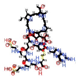 CC[C@H]1c2cc3[nH]c4c(c3C)C(=O)C(C(=O)OC)c4c3nc(cc4[nH]c(cc(n2)[C@@H]1C)c(C(C)=O)c4C)[C@@H](C)[C@@H]3CCC(=O)NCCSSC[C@H](NC(=O)[C@H](CC(=O)NCCS(=O)(=O)O)NC(=O)[C@H](CC(=O)NCCS(=O)(=O)O)NC(=O)CC[C@H](NC(=O)c1ccc(NCc2cnc3nc(N)[nH]c(=O)c3n2)cc1)C(=O)O)C(=O)O